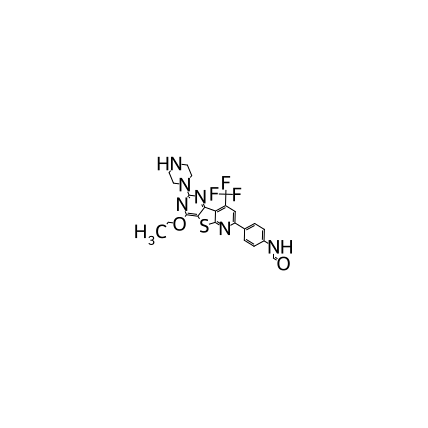 CCOc1nc(N2CCNCC2)nc2c1sc1nc(-c3ccc(NC=O)cc3)cc(C(F)(F)F)c12